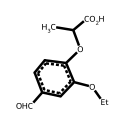 CCOc1cc(C=O)ccc1OC(C)C(=O)O